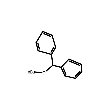 [CH2]CCCOC(c1ccccc1)c1ccccc1